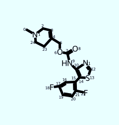 CN1CC=C(COC(=O)Nc2ncsc2-c2cc(F)ccc2F)CC1